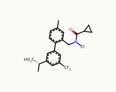 CCN(Cc1cc(C)ccc1-c1cc([C@H](C)C(=O)O)cc(C(F)(F)F)c1)C(=O)C1CC1